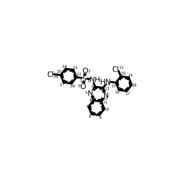 O=S(=O)(Nc1nc2ccccc2nc1Nc1ccccc1Cl)c1ccc(Cl)cc1